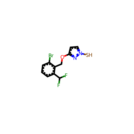 FC(F)c1cccc(Br)c1COc1ccn(S)n1